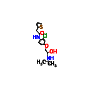 CC(C)NCC(O)COc1ccc(NC(=O)Cc2cccs2)c(Cl)c1